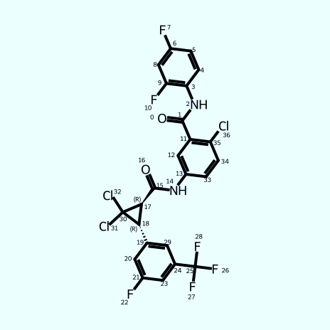 O=C(Nc1ccc(F)cc1F)c1cc(NC(=O)[C@H]2[C@H](c3cc(F)cc(C(F)(F)F)c3)C2(Cl)Cl)ccc1Cl